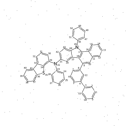 c1ccc(-c2cccc(-c3cc4ccccc4c4c3c3cc(N(c5ccccc5)c5cccc6c5sc5ccccc56)ccc3n4-c3ccccc3)c2)cc1